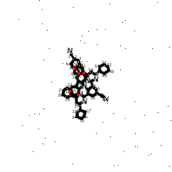 N#Cc1ccc(-c2ccc3c(c2)c2ccccc2n3-c2c(-c3nc(-c4ccccc4)cc(-c4ccccc4)n3)cc(C#N)cc2-c2nc(-c3ccccc3)cc(-c3ccccc3)n2)cc1